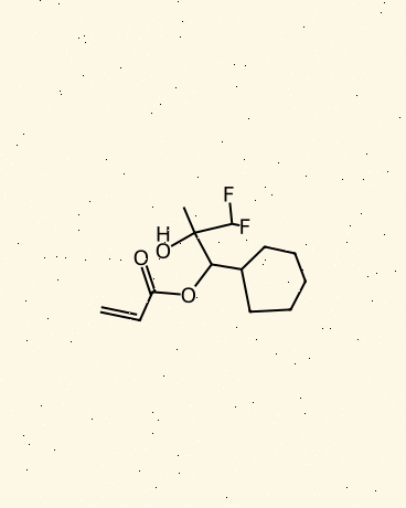 C=CC(=O)OC(C1CCCCC1)C(C)(O)C(F)F